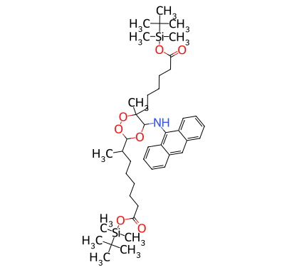 CC(CCCCCC(=O)O[Si](C)(C)C(C)(C)C)C1OOC(C)(CCCCCC(=O)O[Si](C)(C)C(C)(C)C)C(Nc2c3ccccc3cc3ccccc23)O1